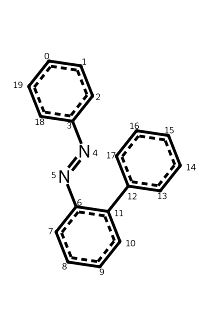 c1ccc(N=Nc2ccccc2-c2ccccc2)cc1